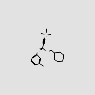 Cc1cccc(N=C(C#C[Si](C)(C)C)SCC2CCCCC2)c1